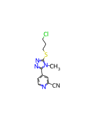 Cn1c(SCCCCl)nnc1-c1ccnc(C#N)c1